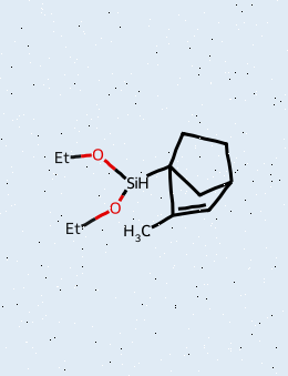 CCO[SiH](OCC)C12CCC(C=C1C)C2